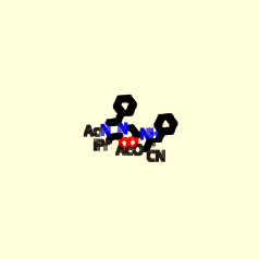 CC(=O)OC(C#N)[C@H](Cc1ccccc1)NC(=O)CN1C(=O)C(C(C)C)N(C(C)=O)C=C1c1ccccc1